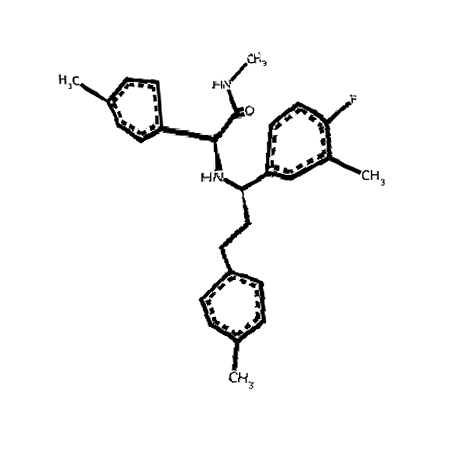 CNC(=O)[C@@H](N[C@H](CCc1ccc(C)cc1)c1ccc(F)c(C)c1)c1ccc(C)cc1